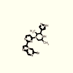 CC1CN(c2ccnc(-c3cnc4cnc(Br)cn34)n2)C(C)C(c2cn[nH]c2)N1